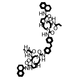 CCC(=O)N[C@H]1CN(C(=O)Nc2ccc(Cc3ccc(NC(=O)N4CC[C@H]5CC[C@@H](C(=O)N[C@@H]6CCCc7ccccc76)N5C(=O)[C@@H](NC(=O)[C@H](C)NC)C4)cc3)cc2)CC[C@H]2CCC(C(=O)N[C@@H]3CCCc4ccccc43)N2C1=O